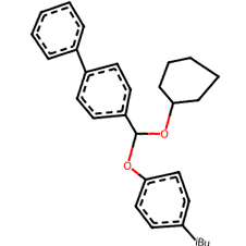 CCC(C)c1ccc(OC(OC2CCCCC2)c2ccc(-c3ccccc3)cc2)cc1